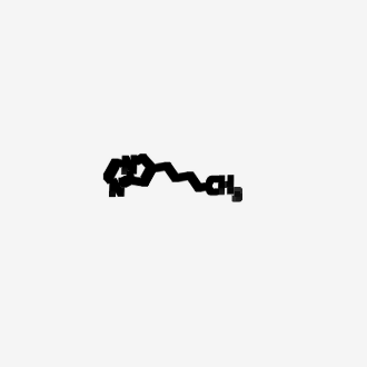 CCCCCC1=Cc2nccn2C1